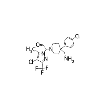 Cc1c(Cl)c(C(F)(F)F)nn1C(C=O)N1CCC(CN)(c2ccc(Cl)cc2)CC1